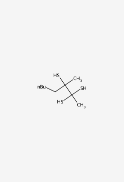 CCCCCC(C)(S)C(C)(S)S